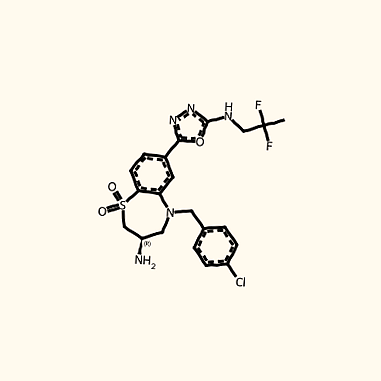 CC(F)(F)CNc1nnc(-c2ccc3c(c2)N(Cc2ccc(Cl)cc2)C[C@@H](N)CS3(=O)=O)o1